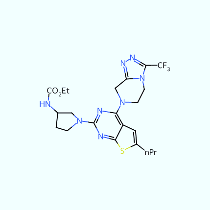 CCCc1cc2c(N3CCn4c(nnc4C(F)(F)F)C3)nc(N3CCC(NC(=O)OCC)C3)nc2s1